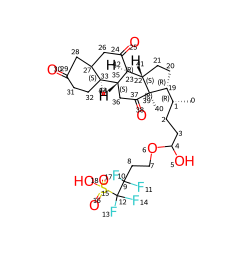 C[C@H](CCC(O)OCCC(F)(F)C(F)(F)S(=O)(=O)O)[C@H]1CC[C@H]2[C@@H]3C(=O)CC4CC(=O)CC[C@]4(C)[C@H]3CC(=O)[C@]12C